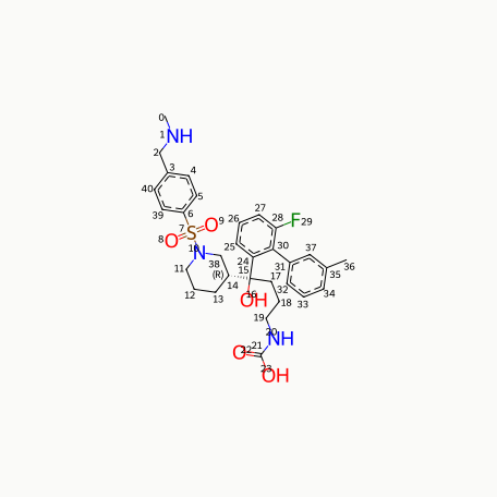 CNCc1ccc(S(=O)(=O)N2CCC[C@@H](C(O)(CCCNC(=O)O)c3cccc(F)c3-c3cccc(C)c3)C2)cc1